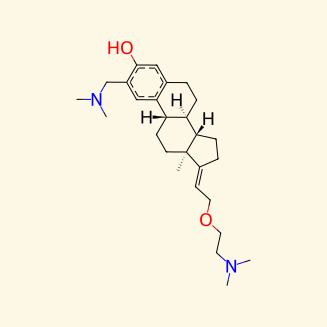 CN(C)CCOC/C=C1\CC[C@H]2[C@@H]3CCc4cc(O)c(CN(C)C)cc4[C@H]3CC[C@]12C